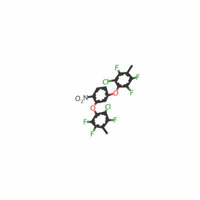 Cc1c(F)c(F)c(Oc2ccc([N+](=O)[O-])c(Oc3c(F)c(F)c(C)c(F)c3Cl)c2)c(Cl)c1F